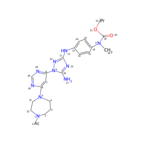 CC(=O)N1CCCN(c2cc(-n3nc(Nc4ccc(N(C)C(=O)OC(C)C)cc4)nc3N)ncn2)CC1